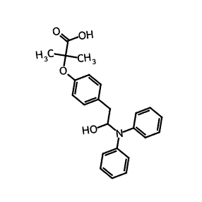 CC(C)(Oc1ccc(CC(O)N(c2ccccc2)c2ccccc2)cc1)C(=O)O